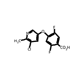 Cc1ncc(Oc2cc(F)c(C(=O)O)cc2F)cc1Cl